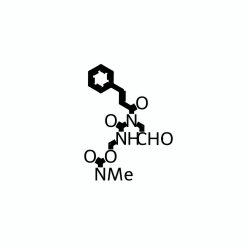 CNC(=O)OCNC(=O)N(C[C]=O)C(=O)/C=C/c1ccccc1